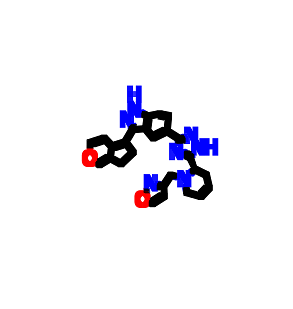 C1=CCN(Cc2ccon2)[C@@H](c2nc(-c3ccc4[nH]nc(C5=C6C=COC=C6CC5)c4c3)n[nH]2)C1